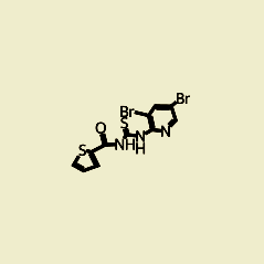 O=C(NC(=S)Nc1ncc(Br)cc1Br)c1cccs1